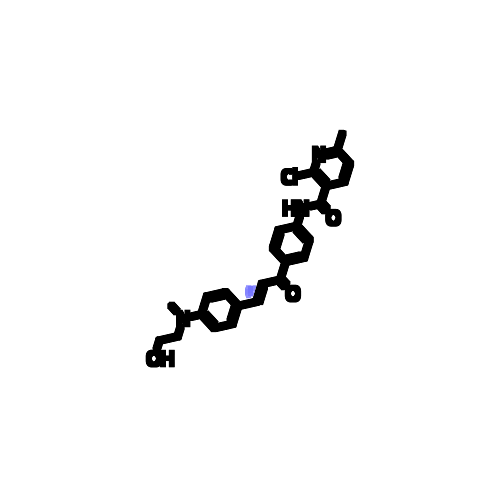 Cc1ccc(C(=O)Nc2ccc(C(=O)/C=C/c3ccc(N(C)CCO)cc3)cc2)c(Cl)n1